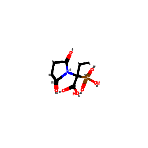 CCC(C(=O)O)(N1C(=O)CCC1=O)S(=O)(=O)O